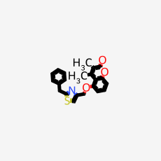 Cc1c(C)c2c(OCc3csc(Cc4ccccc4)n3)cccc2oc1=O